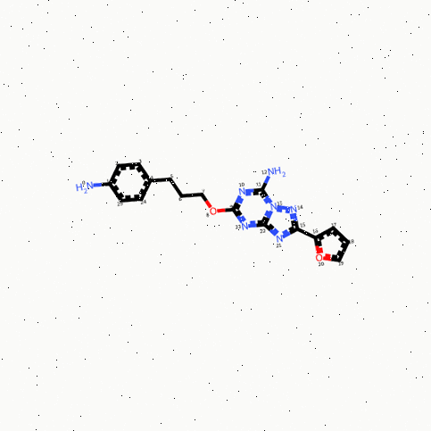 Nc1ccc(CCCOc2nc(N)n3nc(-c4ccco4)nc3n2)cc1